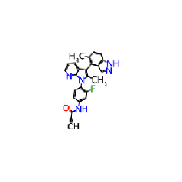 C#CC(=O)Nc1ccc(-n2c(C)c(-c3c(C)ccc4[nH]ncc34)c3cccnc32)c(F)c1